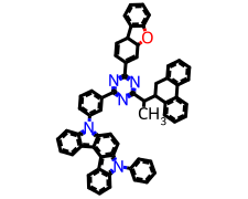 CC(c1nc(C2=CC3Oc4ccccc4C3C=C2)nc(-c2cccc(-n3c4ccccc4c4c5c6ccccc6n(-c6ccccc6)c5ccc43)c2)n1)C1Cc2ccccc2-c2ccccc21